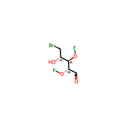 O=C[C@H](OF)[C@H](OF)[C@H](O)CBr